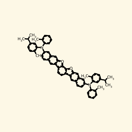 Cc1ccccc1N(c1ccc2cc3c(cc2c1)oc1c3ccc2c3cc4ccc(N(c5ccccc5C)c5cc(C(C)C)ccc5C)cc4cc3oc21)c1cc(C(C)C)ccc1C